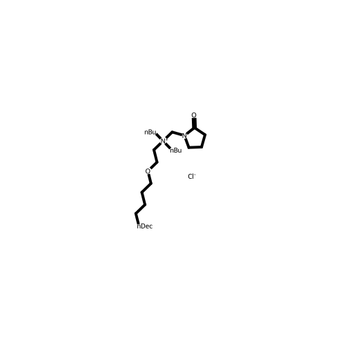 CCCCCCCCCCCCCCOCC[N+](CCCC)(CCCC)CN1CCCC1=O.[Cl-]